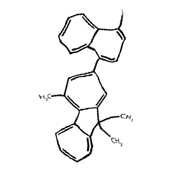 Cc1cc(-c2ccc(I)c3ccccc23)cc2c1-c1ccccc1C2(C)C